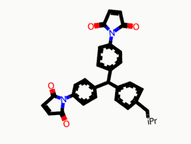 CC(C)Cc1ccc(C(c2ccc(N3C(=O)C=CC3=O)cc2)c2ccc(N3C(=O)C=CC3=O)cc2)cc1